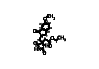 CCOC(=O)CC1(CN2Cc3ccc(OC)cc3C2=O)NC(=O)NC1=O